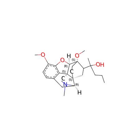 CCCC(C)(O)C1C[C@@]23CC[C@@]1(OC)[C@@H]1Oc4c(OC)ccc5c4[C@@]12CCN(C)[C@@H]3C5